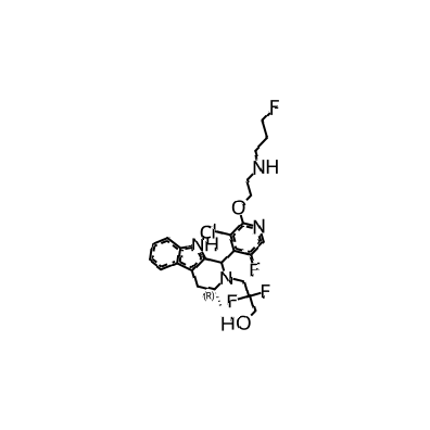 C[C@@H]1Cc2c([nH]c3ccccc23)C(c2c(F)cnc(OCCNCCCF)c2Cl)N1CC(F)(F)CO